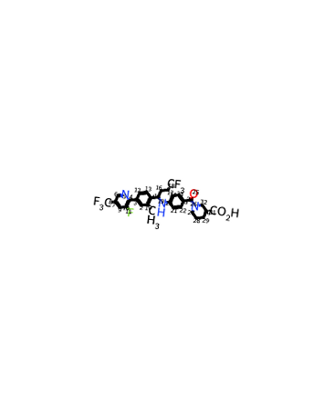 Cc1cc(-c2ncc(C(F)(F)F)cc2F)ccc1C(CCC(F)(F)F)Nc1ccc(C(=O)N2CCC[C@@H](C(=O)O)C2)cc1